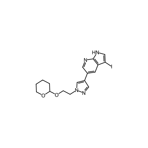 Ic1c[nH]c2ncc(-c3cnn(CCOC4CCCCO4)c3)cc12